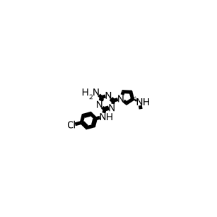 CN[C@@H]1CCN(c2nc(N)nc(Nc3ccc(Cl)cc3)n2)C1